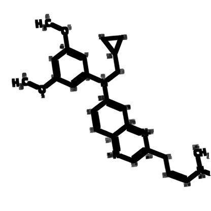 COc1cc(OC)cc(N(CC2CC2)c2ccc3ncc(C/C=C\N(C)C)nc3c2)c1